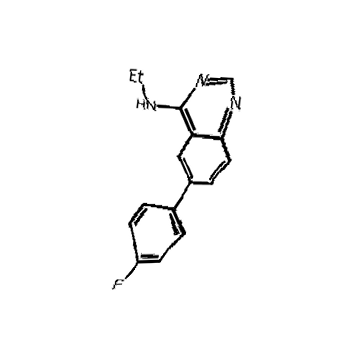 CCNc1ncnc2ccc(-c3ccc(F)cc3)cc12